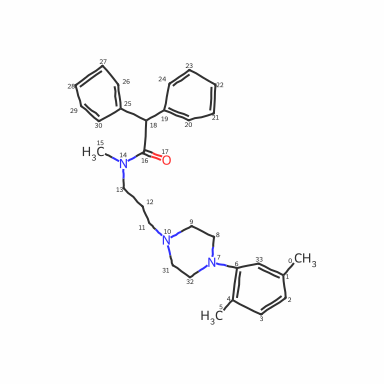 Cc1ccc(C)c(N2CCN(CCCN(C)C(=O)C(c3ccccc3)c3ccccc3)CC2)c1